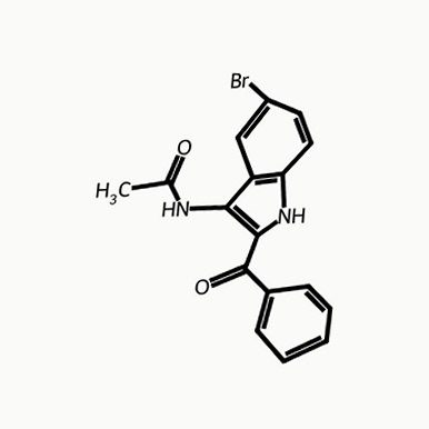 CC(=O)Nc1c(C(=O)c2ccccc2)[nH]c2ccc(Br)cc12